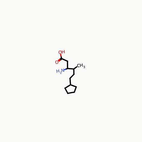 CC(CCC1CCCC1)C(N)CC(=O)O